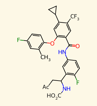 CC(=O)CC(NC(=O)O)c1cc(NC(=O)c2cc(C(F)(F)F)c(C3CC3)cc2Oc2ccc(F)cc2C)ccc1F